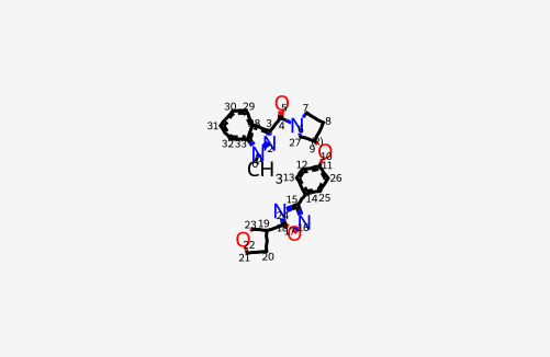 Cn1nc(C(=O)N2CC[C@@H](Oc3ccc(-c4noc(C5CCOC5)n4)cc3)C2)c2ccccc21